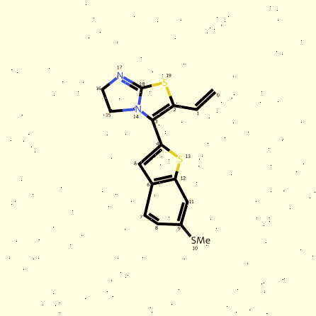 C=CC1=C(c2cc3ccc(SC)cc3s2)N2CCN=C2S1